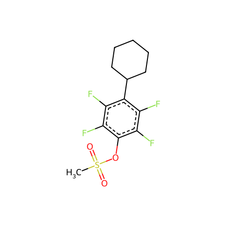 CS(=O)(=O)Oc1c(F)c(F)c(C2CCCCC2)c(F)c1F